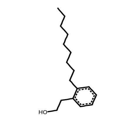 CCCCCCCCCc1ccccc1CCO